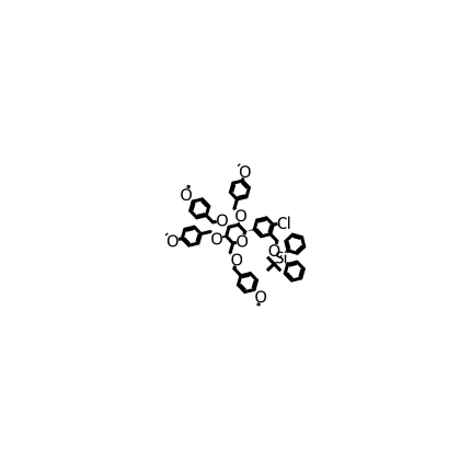 COc1ccc(COCC2O[C@@H](c3ccc(Cl)c(CO[Si](c4ccccc4)(c4ccccc4)C(C)(C)C)c3)[C@@H](OCc3ccc(OC)cc3)[C@@H](OCc3ccc(OC)cc3)[C@@H]2OCc2ccc(OC)cc2)cc1